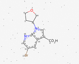 O=C(O)c1cn(C2CCOC2)c2ncc(Br)cc12